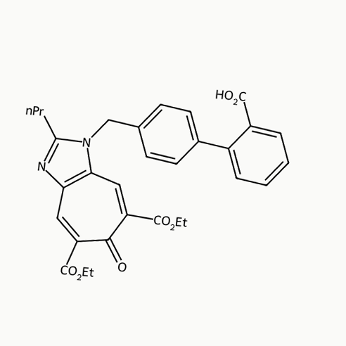 CCCc1nc2cc(C(=O)OCC)c(=O)c(C(=O)OCC)cc2n1Cc1ccc(-c2ccccc2C(=O)O)cc1